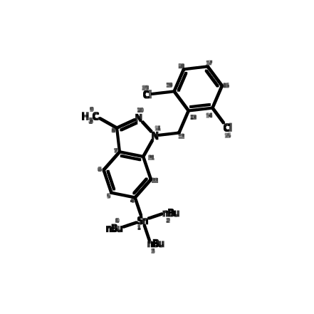 CCC[CH2][Sn]([CH2]CCC)([CH2]CCC)[c]1ccc2c(C)nn(Cc3c(Cl)cccc3Cl)c2c1